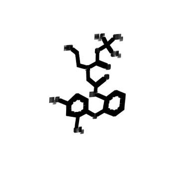 Cc1ccc(Sc2ccccc2NC(=O)CN(CCO)C(=O)OC(C)(C)C)c(C)c1